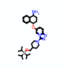 CC(C)[Si](OCC1CCN(c2nnc3ccc(O[C@@H]4CCC(N)c5ccccc54)cn23)CC1)(C(C)C)C(C)C